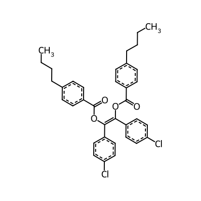 CCCCc1ccc(C(=O)OC(=C(OC(=O)c2ccc(CCCC)cc2)c2ccc(Cl)cc2)c2ccc(Cl)cc2)cc1